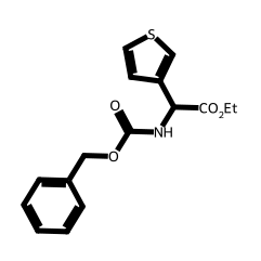 CCOC(=O)C(NC(=O)OCc1ccccc1)c1ccsc1